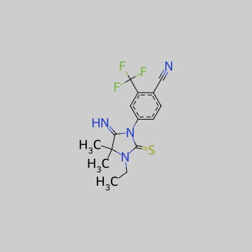 CCN1C(=S)N(c2ccc(C#N)c(C(F)(F)F)c2)C(=N)C1(C)C